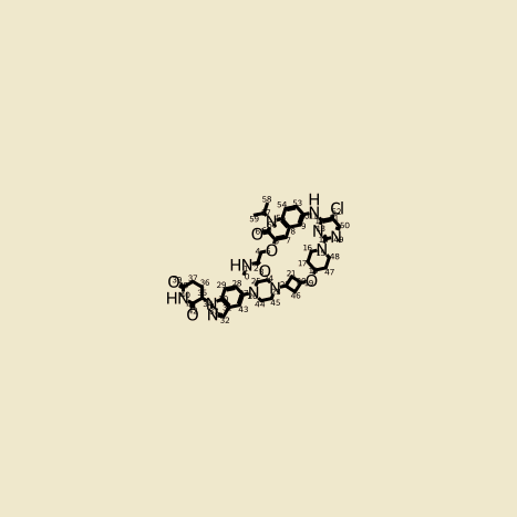 CNC(=O)COc1cc2cc(Nc3nc(N4CCC(OC5CC(N6CCN(c7ccc8c(cnn8C8CCC(=O)NC8=O)c7)CC6)C5)CC4)ncc3Cl)ccc2n(C(C)C)c1=O